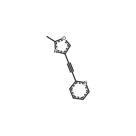 Cc1nc(C#Cc2ccccn2)co1